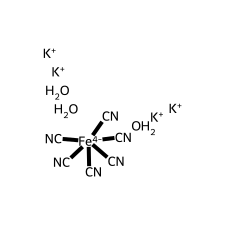 N#[C][Fe-4]([C]#N)([C]#N)([C]#N)([C]#N)[C]#N.O.O.O.[K+].[K+].[K+].[K+]